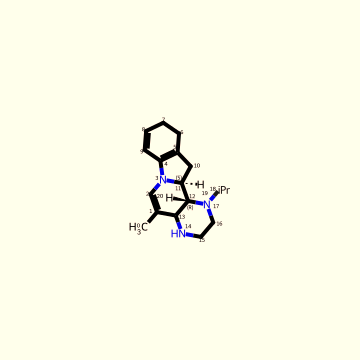 CC1=CN2C3=C(CCC=C3)C[C@H]2[C@H]2C1NCCN2C(C)C